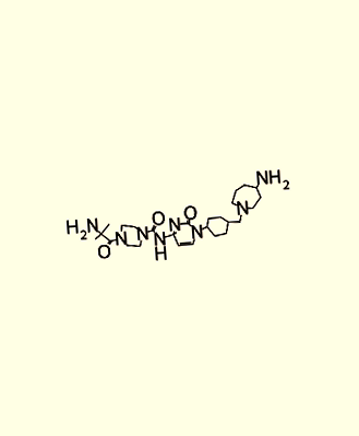 CC(C)(N)C(=O)N1CCN(C(=O)Nc2ccn(C3CCC(CN4CCCC(N)CC4)CC3)c(=O)n2)CC1